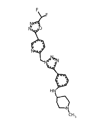 CN1CCC(Nc2cccc(-c3cn(Cc4ccc(-c5nnc(C(F)F)o5)cn4)nn3)c2)CC1